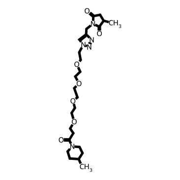 CC1CCN(C(=O)CCOCCOCCOCCOCCn2cc(CN3C(=O)CC(C)C3=O)nn2)CC1